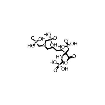 O=C(O)[C@@](CCCCN(CP(=O)(O)O)CP(=O)(O)O)(CP(=O)(O)O)NCP(=O)(O)O